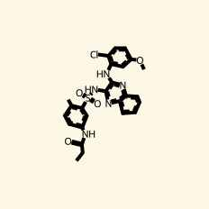 CCC(=O)Nc1ccc(C)c(S(=O)(=O)Nc2nc3ccccc3nc2Nc2cc(OC)ccc2Cl)c1